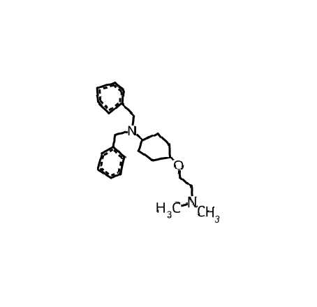 CN(C)CCOC1CCC(N(Cc2ccccc2)Cc2ccccc2)CC1